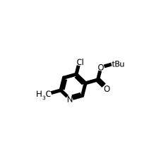 Cc1cc(Cl)c(C(=O)OC(C)(C)C)cn1